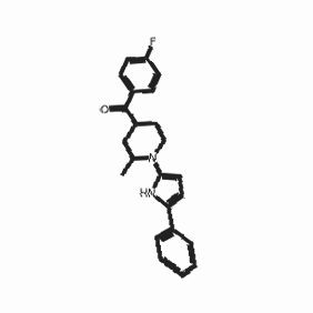 CC1CC(C(=O)c2ccc(F)cc2)CCN1c1ccc(-c2ccccc2)[nH]1